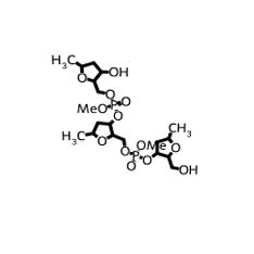 COP(=O)(OCC1OC(C)CC1OP(=O)(OC)OCC1OC(C)CC1O)OC1CC(C)OC1CO